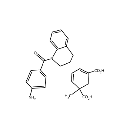 CC1(C(=O)O)C=CC=C(C(=O)O)C1.Nc1ccc(C(=O)N2CCCc3ccccc32)cc1